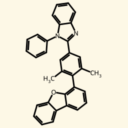 Cc1cc(-c2nc3ccccc3n2-c2ccccc2)cc(C)c1-c1cccc2c1oc1ccccc12